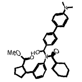 COC(=O)C1CCCC1c1cccc(N(C(=O)C2CCCCC2)C(O)c2ccc(-c3ccc(N(C)C)cc3)cc2)c1